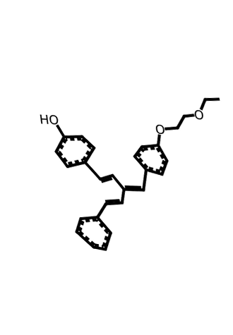 CCOCCOc1ccc(C=C(C=Cc2ccccc2)C=Cc2ccc(O)cc2)cc1